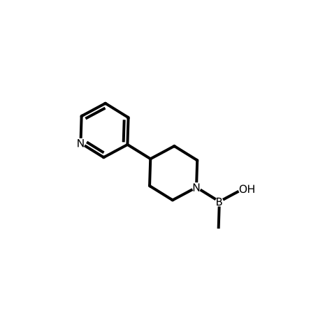 CB(O)N1CCC(c2cccnc2)CC1